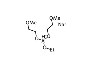 CC[O][AlH-]([O]CCOC)[O]CCOC.[Na+]